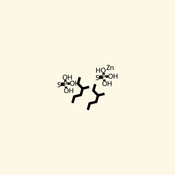 CCCC(C)CC.CCCC(C)CC.OP(O)(O)=S.OP(O)(O)=S.[Zn]